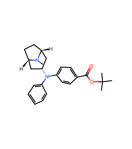 CN1[C@@H]2CC[C@H]1C[C@@H](N(c1ccccc1)c1ccc(C(=O)OC(C)(C)C)cc1)C2